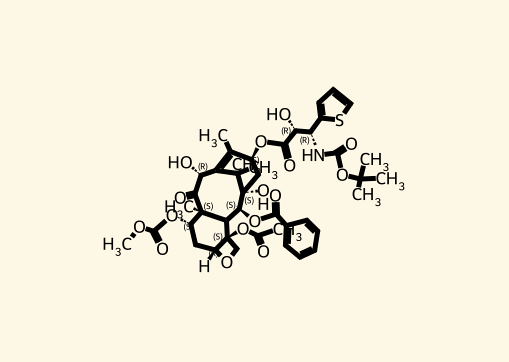 COC(=O)O[C@H]1C[C@H]2OC[C@@]2(OC(C)=O)C2[C@H](OC(=O)c3ccccc3)[C@]3(O)C[C@H](OC(=O)[C@H](O)[C@@H](NC(=O)OC(C)(C)C)c4cccs4)C(C)=C([C@@H](O)C(=O)[C@@]21C)C3(C)C